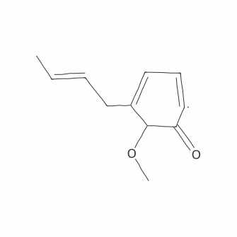 CC=CCC1=CC=[C]C(=O)C1OC